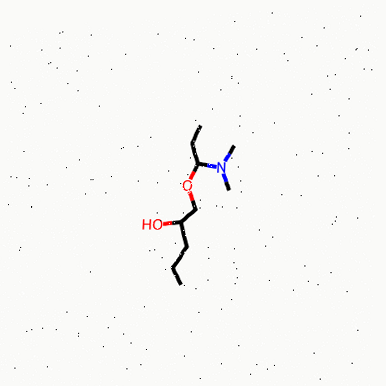 CCCC(O)COC(CC)N(C)C